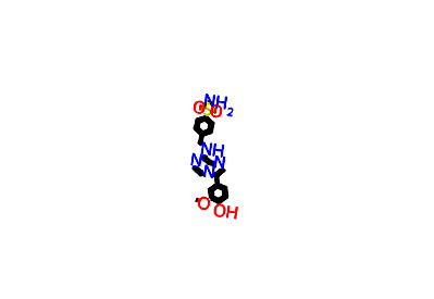 COc1cc(-c2cnc3c(NCc4ccc(S(N)(=O)=O)cc4)nccn23)ccc1O